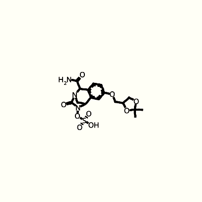 CC1(C)OCC(COc2ccc3c(c2)C2CN(C(=O)N2OS(=O)(=O)O)C3C(N)=O)O1